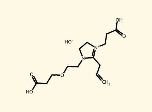 C=CCC1=[N+](CCC(=O)O)CCN1CCOCCC(=O)O.[OH-]